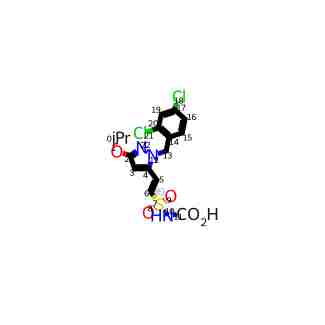 CC(C)Oc1cc(/C=C/S(=O)(=O)NC(=O)O)n(Cc2ccc(Cl)cc2Cl)n1